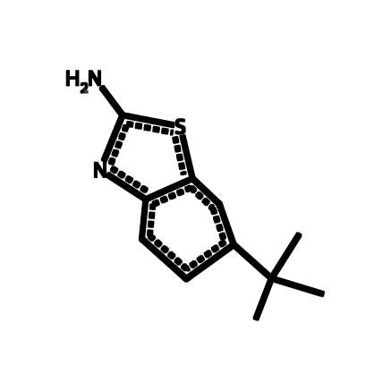 CC(C)(C)c1ccc2nc(N)sc2c1